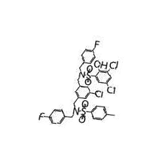 Cc1ccc(S(=O)(=O)N(Cc2ccc(F)cc2)Cc2cc(Cl)cc(CN(Cc3ccc(F)cc3)S(=O)(=O)c3cc(Cl)cc(Cl)c3O)c2)cc1